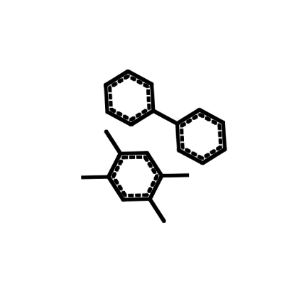 Cc1cc(C)c(C)cc1C.c1ccc(-c2ccccc2)cc1